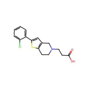 O=C(O)CCN1CCc2sc(-c3ccccc3Cl)cc2C1